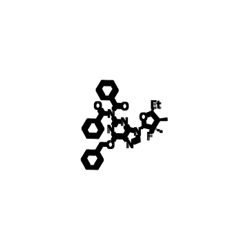 CC[C@H]1O[C@@H](n2cnc3c(OCc4ccccc4)nc(N(C(=O)c4ccccc4)C(=O)c4ccccc4)nc32)[C@](C)(F)[C@@H]1C